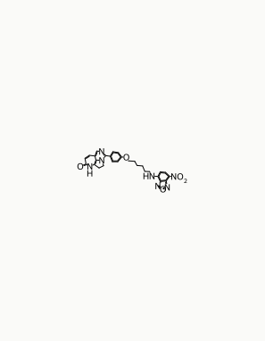 O=C1C=CC2=CN=C(c3ccc(OCCCCCCNc4ccc([N+](=O)[O-])c5nonc45)cc3)N3CCC(=C23)N1